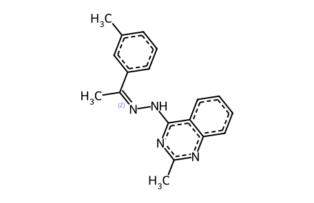 C/C(=N/Nc1nc(C)nc2ccccc12)c1cccc(C)c1